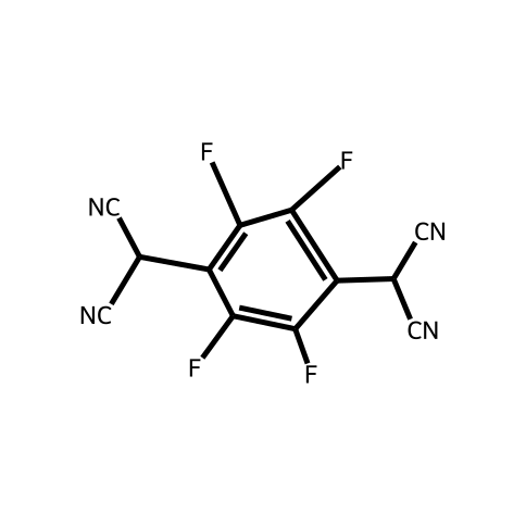 N#CC(C#N)c1c(F)c(F)c(C(C#N)C#N)c(F)c1F